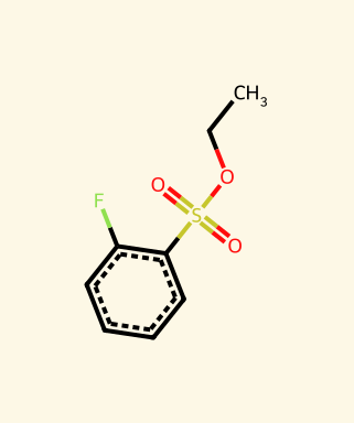 CCOS(=O)(=O)c1ccccc1F